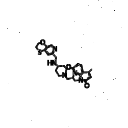 Cc1cc(=O)n2c3c1ccc(=O)n3[C@H](CN1CCC(NCc3cc4c(cn3)OCCS4)CC1)C2